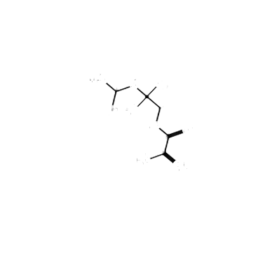 C=C(C)C(=O)OCC(OC(OC)C(C)C)(C(F)(F)F)C(F)(F)F